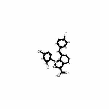 O=C(O)c1nn(-c2ccc(Cl)cc2Cl)c2c1CCCC2=Cc1ccc(F)cc1